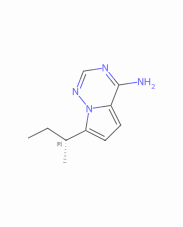 CC[C@@H](C)c1ccc2c(N)ncnn12